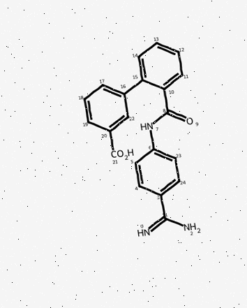 N=C(N)c1ccc(NC(=O)c2ccccc2-c2cccc(C(=O)O)c2)cc1